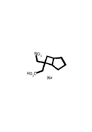 O=C(O)CC1(C[N+](=O)[O-])CC2CCCC21.[Na]